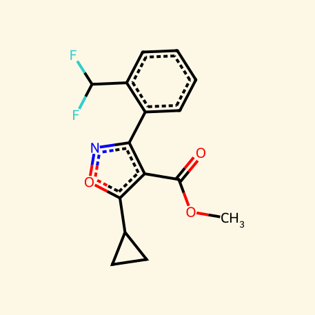 COC(=O)c1c(-c2ccccc2C(F)F)noc1C1CC1